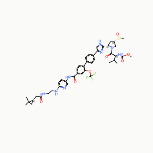 COC(=O)N[C@H](C(=O)N1C[C@@H]([S+](C)[O-])C[C@H]1c1nc(-c2ccc(-c3ccc(C(=O)Nc4ccc(NCCNC(=O)C[C@H]5CC5(C)C)nc4)cc3OC(F)(F)F)cc2)c[nH]1)C(C)C